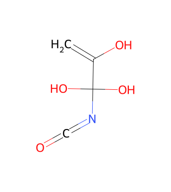 C=C(O)C(O)(O)N=C=O